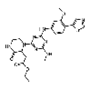 CCOC(=O)CC1C(=O)NCCN1c1nc(NC)nc(Nc2ccc(-c3cnco3)c(OC)c2)n1